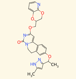 Cc1cc(C(C)Oc2ccc3c(c2)CCn2c-3cc(OCC3COc4ncccc4O3)nc2=O)n[nH]1